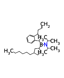 C=CCC1CC(B(C2CCC(CCCCCC)C2)N(C(C)C)C(C)C)c2ccccc21